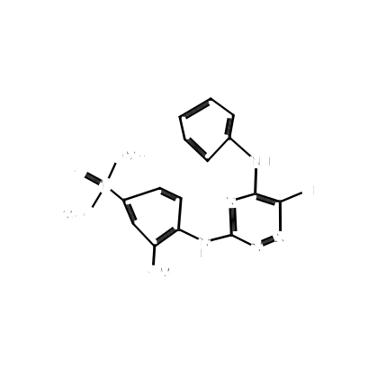 COc1cc(P(=O)(OC)OC)ccc1Nc1nnc(Cl)c(Nc2ccccc2)n1